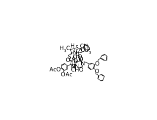 CC(=O)Oc1ccc(C(C(=O)NOC(=O)[C@]2(Cc3ccccc3)N3C(=S)[C@@H](C)[C@H]3SC2(C)C)N(C=O)N2CCN(Cc3ccc(OCc4ccccc4)c(OCc4ccccc4)c3)C(=O)C2=O)cc1OC(C)=O